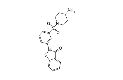 NC1CCN(S(=O)(=O)c2cccc(-n3sc4ccccc4c3=O)c2)CC1